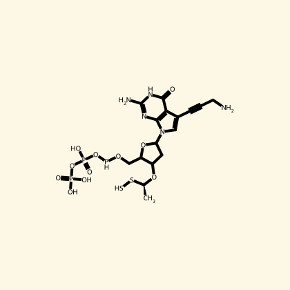 C[C@H](OC1CC(n2cc(C#CCN)c3c(=O)[nH]c(N)nc32)OC1COPOP(=O)(O)OP(=O)(O)O)SS